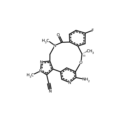 C[C@@H]1Oc2cc(cnc2N)-c2c(nn(C)c2C#N)CN(C)C(=O)c2ccc(F)cc21